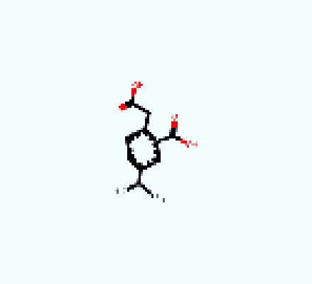 CC(C)c1ccc(CC(=O)O)c(C(=O)O)c1